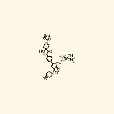 CC(C)(C)OC(=O)N1CCC(O)(C(=O)Nc2ccc(-c3cc4c(N5CCS(=O)(=O)CC5)ncnc4n3COCC[Si](C)(C)C)cc2)CC1